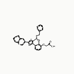 O=C(O)COc1cccc2c1OC(SCc1ccccc1)c1sc(-c3ccc4ccccc4c3)nc1-2